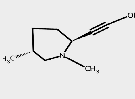 C[C@@H]1CC[C@@H](C#CO)N(C)C1